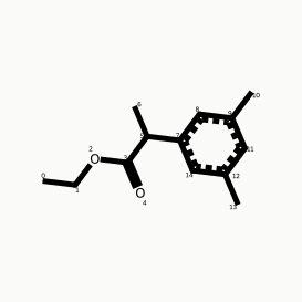 CCOC(=O)C(C)c1cc(C)[c]c(C)c1